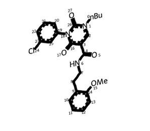 CCCCn1cc(C(=O)NCCc2ccccc2OC)c(=O)n(-c2cccc(Cl)c2)c1=O